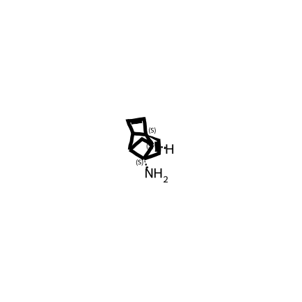 N[C@]12C=C[C@]34C=CC3C1C[C@@H]42